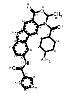 CC1CCC(C(=O)N2c3cc4c(cc3C(=O)OC2C)oc2ccc(NC(=O)c3cscn3)cc24)CC1